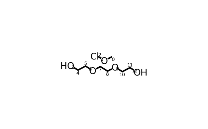 COCl.OCCOCCOCCO